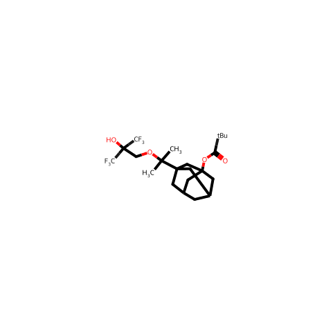 CC(C)(C)C(=O)OC12CC3CC(C1)CC(C(C)(C)OCC(O)(C(F)(F)F)C(F)(F)F)(C3)C2